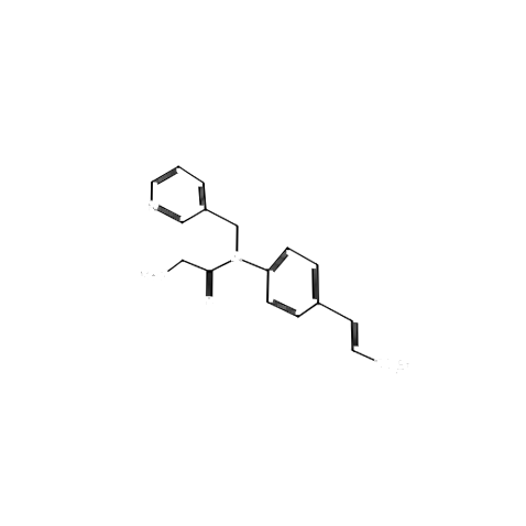 CCOC(=O)C=Cc1ccc(N(Cc2cccnc2)C(=O)COC)cc1